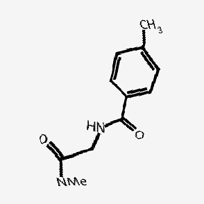 CNC(=O)CNC(=O)c1ccc(C)cc1